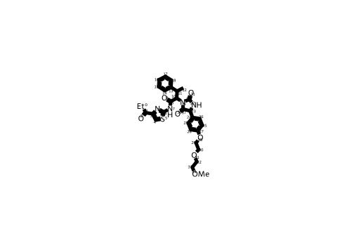 CCC(=O)c1csc(NC(=O)C(C(C)c2ccccc2)N2C(=O)NC(c3ccc(OCCOCCOC)cc3)C2=O)n1